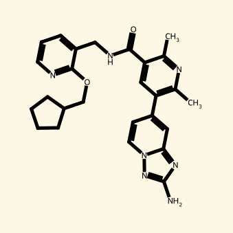 Cc1nc(C)c(-c2ccn3nc(N)nc3c2)cc1C(=O)NCc1cccnc1OCC1CCCC1